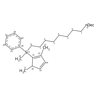 CCCCCCCCCCCCCCCCCC[Si](C)(C1=C(C)C=CC1C)c1ccccc1